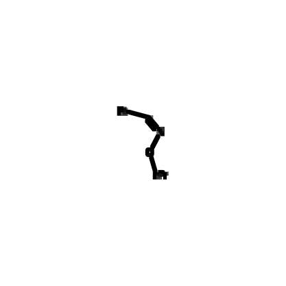 CC/[C]=N\OCCC